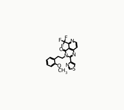 COc1ccccc1CCn1c(-c2cscn2)nc2ccnc(C(F)(F)F)c2c1=O